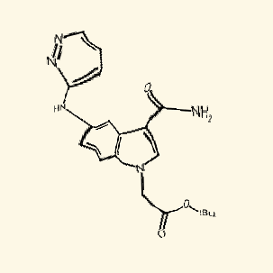 CC(C)(C)OC(=O)Cn1cc(C(N)=O)c2cc(Nc3cccnn3)ccc21